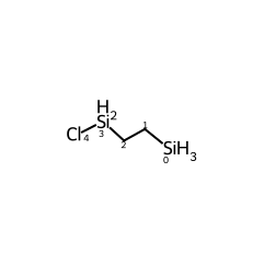 [SiH3]CC[SiH2]Cl